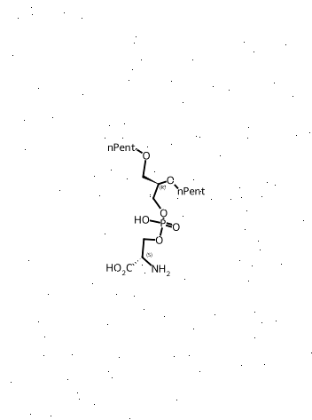 CCCCCOC[C@H](COP(=O)(O)OC[C@H](N)C(=O)O)OCCCCC